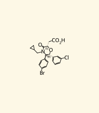 O=C(O)C[C@@H]1O[C@H](c2cccc(Cl)c2)[C@@H](c2ccc(Br)cc2)N(CC2CC2)C1=O